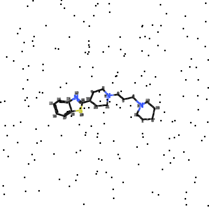 [CH]1CCN(CCCN2CCC(c3nc4ccccc4s3)CC2)CC1